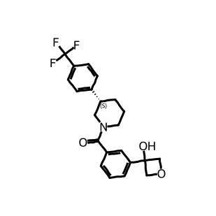 O=C(c1cccc(C2(O)COC2)c1)N1CCC[C@@H](c2ccc(C(F)(F)F)cc2)C1